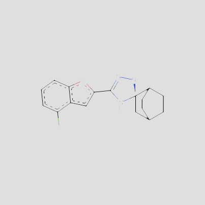 Fc1cccc2oc(C3=NN[C@@]4(CC5CCC4CC5)N3)cc12